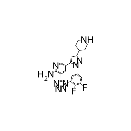 Nc1ncc(C2=CC(C3CCNCC3)N=N2)cc1-c1nnnn1-c1cccc(F)c1F